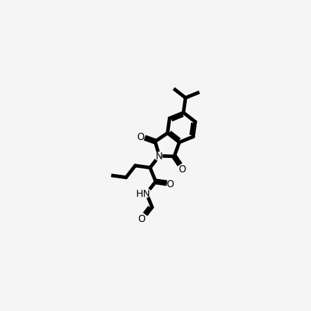 CCCC(C(=O)NC=O)N1C(=O)c2ccc(C(C)C)cc2C1=O